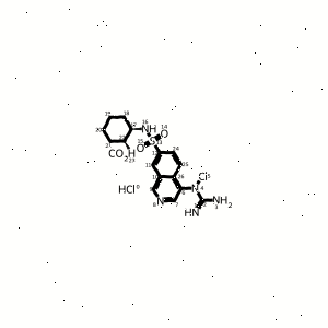 Cl.N=C(N)N(Cl)c1cncc2cc(S(=O)(=O)N[C@@H]3CCCC[C@@H]3C(=O)O)ccc12